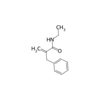 C=C(Cc1ccccc1)C(=O)NCC